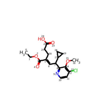 CCOC(=O)C(=CC(c1nccc(Cl)c1OC)C1CC1)CCC(=O)O